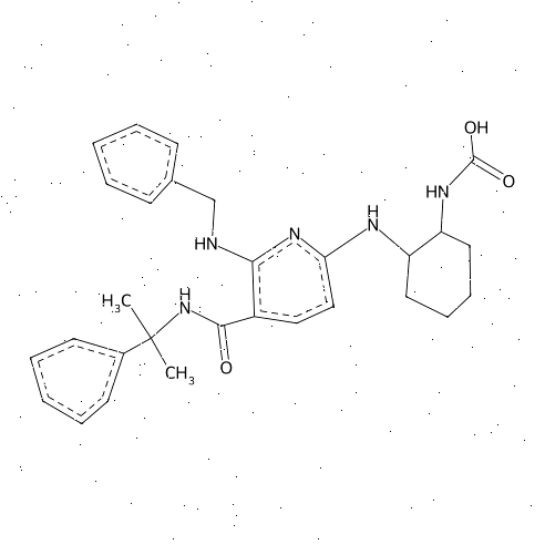 CC(C)(NC(=O)c1ccc(NC2CCCCC2NC(=O)O)nc1NCc1ccccc1)c1ccccc1